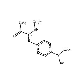 CCOC(=O)N[C@@H](Cc1ccc(C(OC(C)=O)OC(C)=O)cc1)C(=O)OC